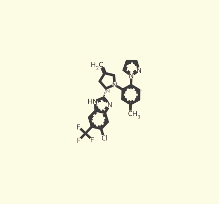 C=C1C[C@@H](c2nc3cc(Cl)c(C(F)(F)F)cc3[nH]2)N(c2cc(C)c[c]c2-n2cccn2)C1